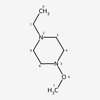 CCN1CCN(OC)CC1